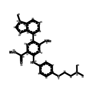 CNc1nc(Nc2ccc(OCCN(C)C)cc2)c(C(=O)OC)nc1-c1cncc2c1ncn2C